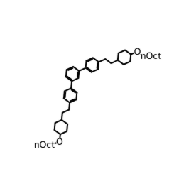 CCCCCCCCOC1CCC(CCc2ccc(-c3cccc(-c4ccc(CCC5CCC(OCCCCCCCC)CC5)cc4)c3)cc2)CC1